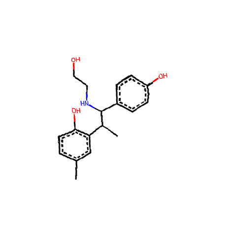 Cc1ccc(O)c(C(C)C(NCCO)c2ccc(O)cc2)c1